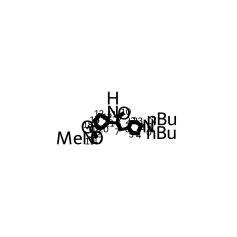 CCCCN(CCCC)c1ccc(C=C2C(=O)Nc3ccc(S(=O)(=O)NC)cc32)cc1